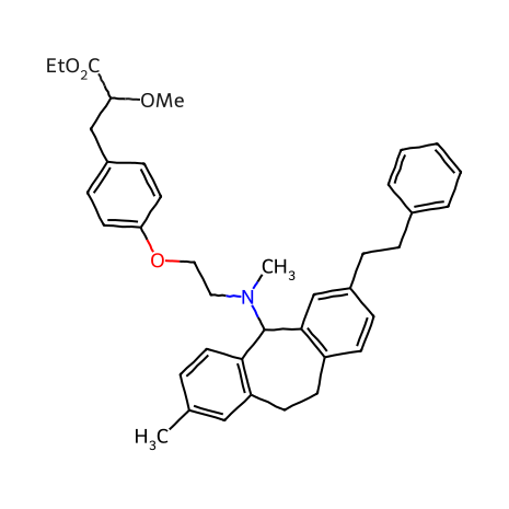 CCOC(=O)C(Cc1ccc(OCCN(C)C2c3ccc(C)cc3CCc3ccc(CCc4ccccc4)cc32)cc1)OC